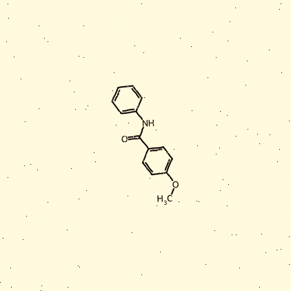 COc1ccc(C(=O)Nc2[c]cccc2)cc1